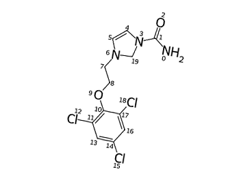 NC(=O)N1C=CN(CCOc2c(Cl)cc(Cl)cc2Cl)C1